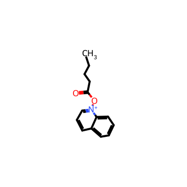 CCCCC(=O)O[n+]1cccc2ccccc21